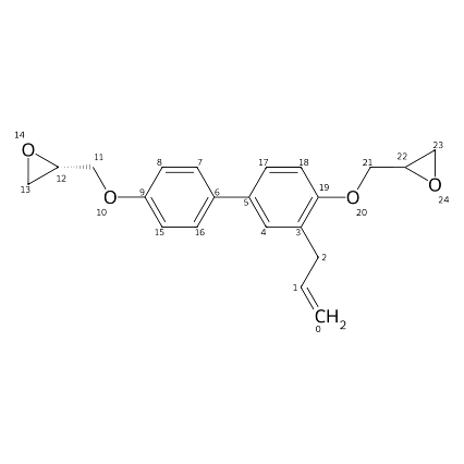 C=CCc1cc(-c2ccc(OC[C@@H]3CO3)cc2)ccc1OCC1CO1